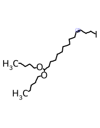 CCCCCOC(CCCCCCCCC/C=C\CCI)OCCCCC